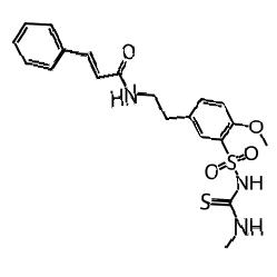 CNC(=S)NS(=O)(=O)c1cc(CCNC(=O)C=Cc2ccccc2)ccc1OC